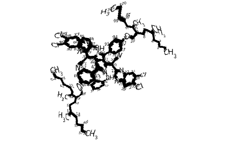 CCCCCC(C)CCC(COc1ccc(-c2c3/c(=C(\C#N)c4cnc5cc(Cl)c(Cl)cc5n4)n(Bc4ccccc4)c(-c4ccc(OCC(CCC(C)CCCCC)C(C)CCCCC)cc4)c3/c(=C(\C#N)c3cnc4cc(Cl)c(Cl)cc4n3)n2Bc2ccccc2)cc1)C(C)CCCCC